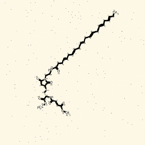 CCC=CCC=CCC=CCC=CCC=CCC=CCCC(=O)NCCN1C(=O)CC(SC[C@H](NC(=O)C=CC(=O)OC)C(=O)OC)C1=O